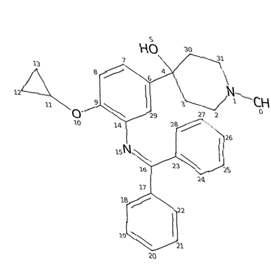 CN1CCC(O)(c2ccc(OC3CC3)c(N=C(c3ccccc3)c3ccccc3)c2)CC1